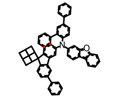 c1ccc(-c2ccc(N(c3ccc4c(c3)-c3cc(-c5ccccc5)ccc3C43C4CC5CC6CC3C564)c3ccc4c(c3)oc3ccccc34)c(-c3ccccc3)c2)cc1